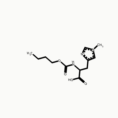 CCCCOC(=O)NC(Cc1cn(C)cn1)C(=O)O